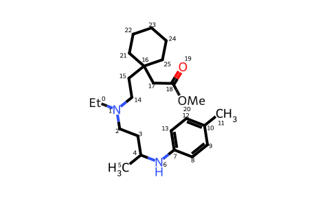 CCN(CCC(C)Nc1ccc(C)cc1)CCC1(CC(=O)OC)CCCCC1